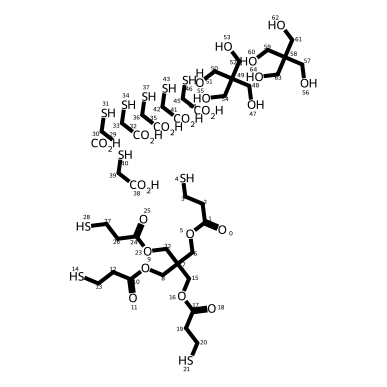 O=C(CCS)OCC(COC(=O)CCS)(COC(=O)CCS)COC(=O)CCS.O=C(O)CS.O=C(O)CS.O=C(O)CS.O=C(O)CS.O=C(O)CS.O=C(O)CS.OCC(CO)(CO)CO.OCC(CO)(CO)CO